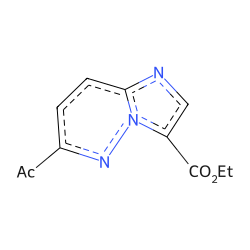 CCOC(=O)c1cnc2ccc(C(C)=O)nn12